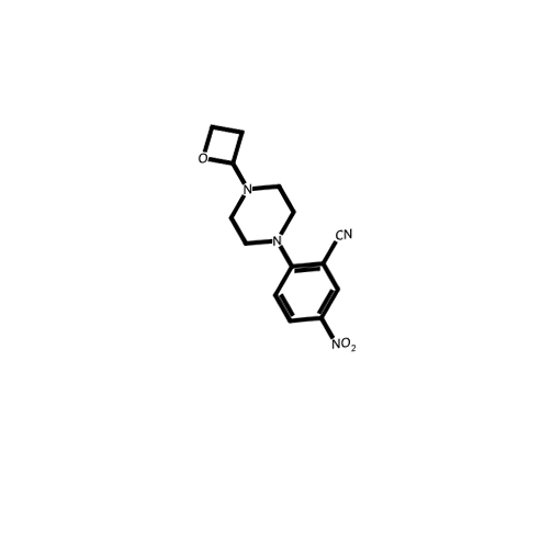 N#Cc1cc([N+](=O)[O-])ccc1N1CCN(C2CCO2)CC1